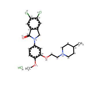 COc1ccc(N2Cc3cc(Cl)c(Cl)cc3C2=O)cc1OCCN1CCC(C)CC1.Cl